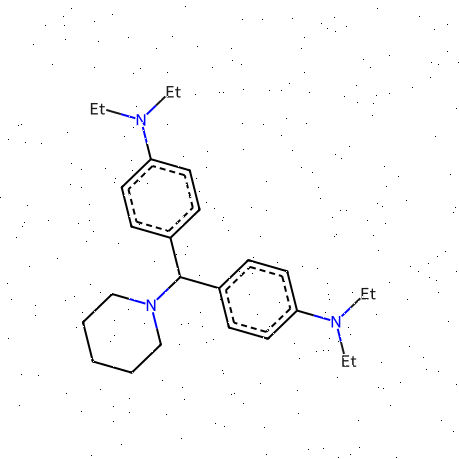 CCN(CC)c1ccc(C(c2ccc(N(CC)CC)cc2)N2CCCCC2)cc1